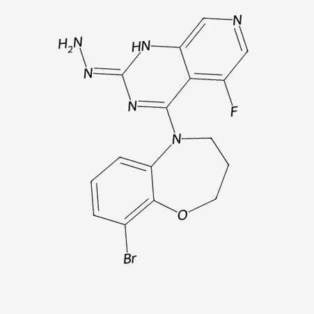 N/N=c1/nc(N2CCCOc3c(Br)cccc32)c2c(F)cncc2[nH]1